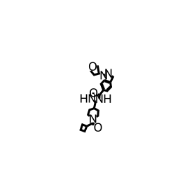 O=C(C1CCC1)N1CCC(C2NOC(c3ccc4cnn([C@@H]5CCOC5)c4c3)N2)CC1